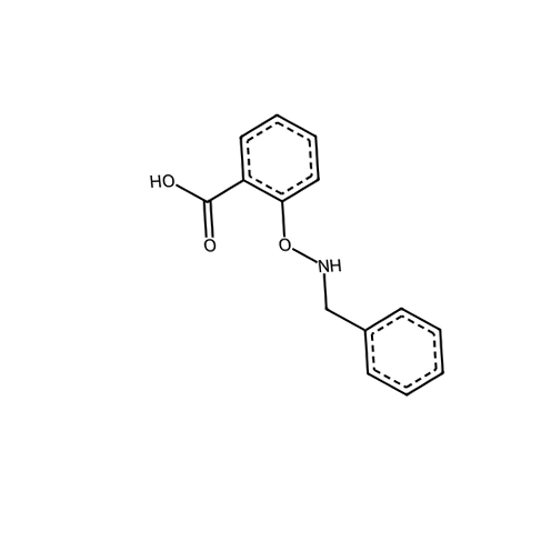 O=C(O)c1ccccc1ONCc1ccccc1